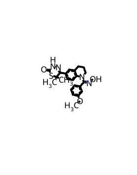 COc1cccc(/C(=N/O)N2CCCc3cc(C4=NNC(=O)SC4(C)C)ccc32)c1